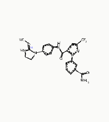 N#C/N=C1\NCCN1c1ccc(NC(=O)c2cc(C(F)(F)F)nn2-c2cccc(C(N)=O)c2)cc1